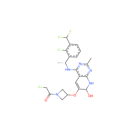 Cc1nc2c(c(N[C@H](C)c3cccc(C(F)F)c3F)n1)C=C(OC1CN(C(=O)CF)C1)C(O)N2